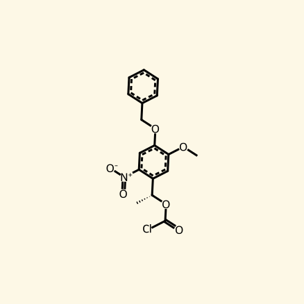 COc1cc([C@@H](C)OC(=O)Cl)c([N+](=O)[O-])cc1OCc1ccccc1